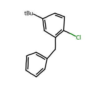 CC(C)(C)c1ccc(Cl)c(Cc2ccccc2)c1